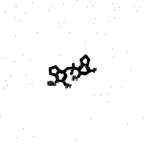 CC(C)c1cc(CC(C)(C)c2c(C(C)C)cc(F)c3c2CCC3)c2c(c1C(C)(C)C)CCC2